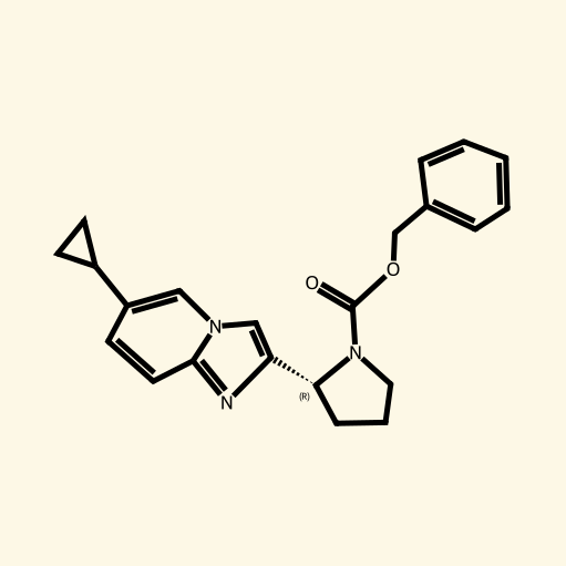 O=C(OCc1ccccc1)N1CCC[C@@H]1c1cn2cc(C3CC3)ccc2n1